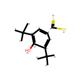 CC(C)(C)c1cccc(C(C)(C)C)c1O.S=CS